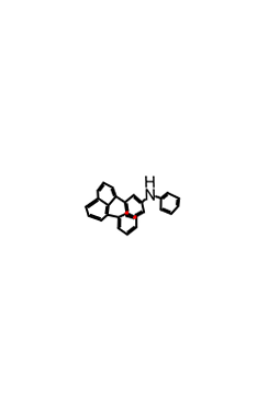 c1ccc(Nc2cccc(-c3cccc4cccc(-c5ccccc5)c34)c2)cc1